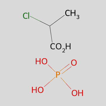 CC(Cl)C(=O)O.O=P(O)(O)O